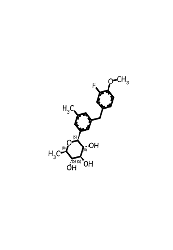 COc1ccc(Cc2cc(C)cc([C@@H]3O[C@H](C)[C@@H](O)[C@H](O)[C@H]3O)c2)cc1F